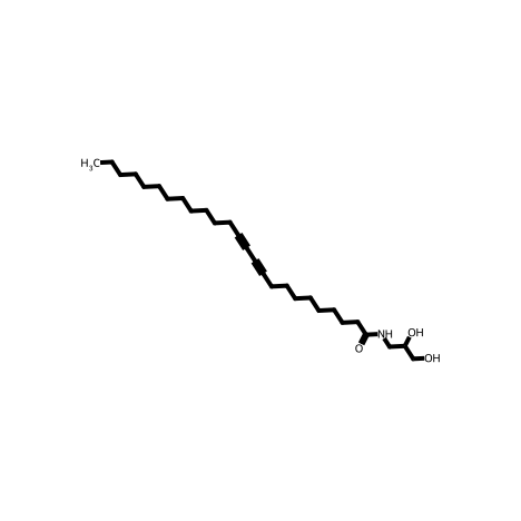 CCCCCCCCCCCCC#CC#CCCCCCCCCC(=O)NCC(O)CO